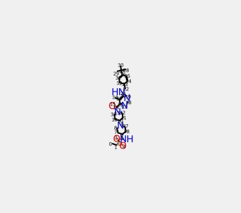 CCS(=O)(=O)NC1CCN(C2CCN(C(=O)c3ncnc(NCC4C=CC(C(C)(C)C)=CC4)c3C)CC2)CC1